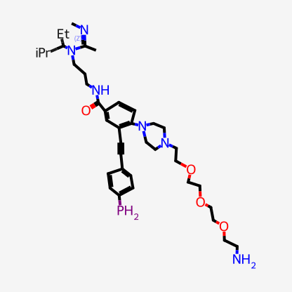 CCC(C(C)C)N(CCCNC(=O)c1ccc(N2CCN(CCOCCOCCOCCN)CC2)c(C#Cc2ccc(P)cc2)c1)/C(C)=N\C